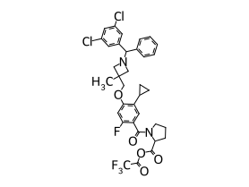 CC1(COc2cc(F)c(C(=O)N3CCCC3C(=O)OC(=O)C(F)(F)F)cc2C2CC2)CN(C(c2ccccc2)c2cc(Cl)cc(Cl)c2)C1